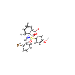 COc1ccc(S(=O)(=O)N(Cc2ccccc2Br)c2c(C)cc(C)cc2C(=O)O)cc1